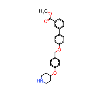 COC(=O)c1cccc(-c2ccc(OCc3ccc(OC4CCNCC4)cc3)cc2)c1